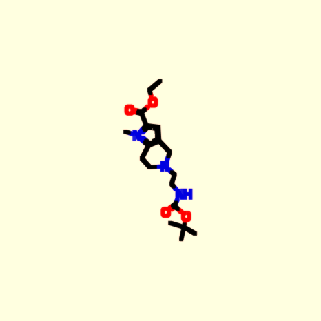 CCOC(=O)c1cc2c(n1C)CCN(CCNC(=O)OC(C)(C)C)C2